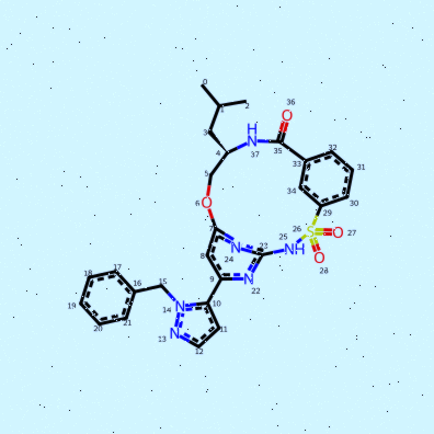 CC(C)C[C@@H]1COc2cc(-c3ccnn3Cc3ccccc3)nc(n2)NS(=O)(=O)c2cccc(c2)C(=O)N1